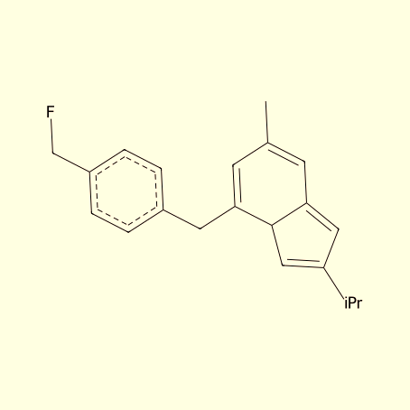 CC1=CC2=CC(C(C)C)=CC2C(Cc2ccc(CF)cc2)=C1